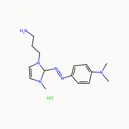 CN(C)c1ccc(N=NC2N(C)C=CN2CCCN)cc1.Cl